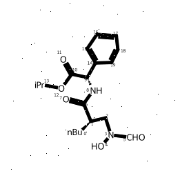 CCCC[C@H](CN(O)C=O)C(=O)N[C@H](C(=O)OC(C)C)c1ccccc1